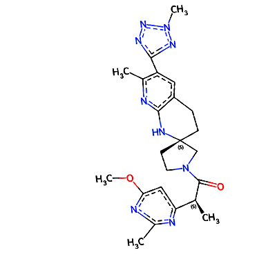 COc1cc([C@H](C)C(=O)N2CC[C@@]3(CCc4cc(-c5nnn(C)n5)c(C)nc4N3)C2)nc(C)n1